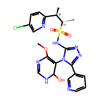 COC1=C(n2c(NS(=O)(=O)[C@@H](C)[C@H](C)c3ccc(Cl)cn3)nnc2-c2cccnc2)C(O)NC=N1